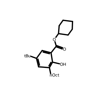 CCCCCCCCc1cc(C(C)(C)C)cc(C(=O)OC2CCCCC2)c1O